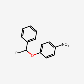 CC(C)C(Oc1ccc([N+](=O)[O-])cc1)c1ccccc1